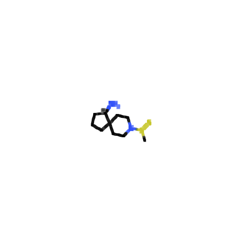 CS(=S)N1CCC2(CCC[C@H]2N)CC1